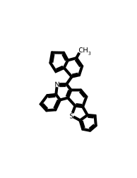 Cc1ccc(-c2nc3ccccc3c3c2ccc2c4ccccc4sc23)c2ccccc12